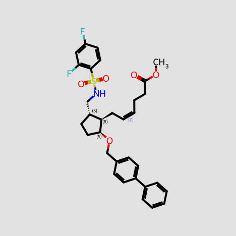 COC(=O)CC/C=C\C[C@@H]1[C@@H](CNS(=O)(=O)c2ccc(F)cc2F)CC[C@@H]1OCc1ccc(-c2ccccc2)cc1